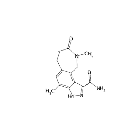 Cc1cc2c(c3c(C(N)=O)n[nH]c13)CN(C)C(=O)[CH]C2